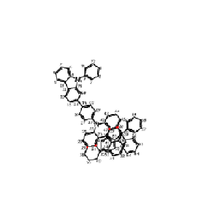 c1ccc(-n2c3ccccc3c3ccc(-c4ccc(N(c5ccccc5-c5cccc6cccc(C7CCCCC7)c56)c5cccc6c5-c5ccccc5C6(c5ccccc5)c5ccccc5)cc4)cc32)cc1